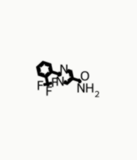 NC(=O)c1cnc(-c2ccccc2C(F)(F)F)nc1